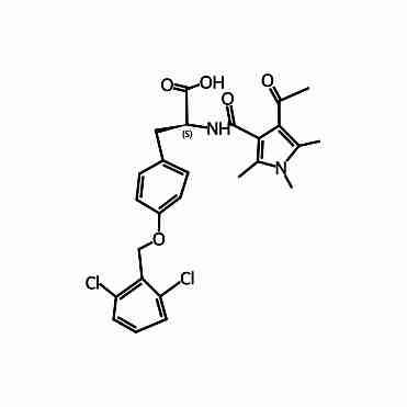 CC(=O)c1c(C(=O)N[C@@H](Cc2ccc(OCc3c(Cl)cccc3Cl)cc2)C(=O)O)c(C)n(C)c1C